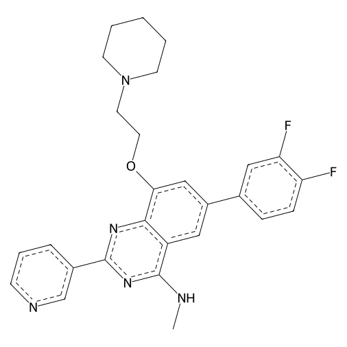 CNc1nc(-c2cccnc2)nc2c(OCCN3CCCCC3)cc(-c3ccc(F)c(F)c3)cc12